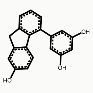 Oc1cc(O)cc(-c2cccc3c2-c2ccc(O)cc2C3)c1